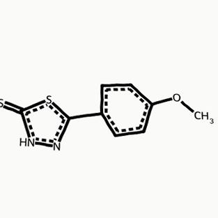 COc1ccc(-c2n[nH]c(=S)s2)cc1